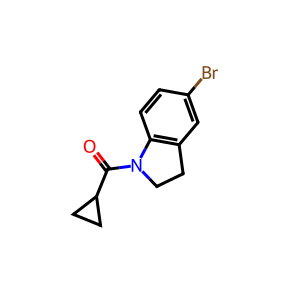 O=C(C1CC1)N1CCc2cc(Br)ccc21